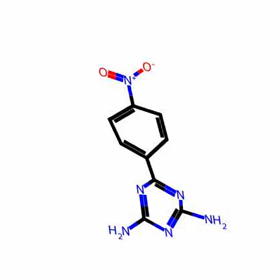 Nc1nc(N)nc(-c2ccc([N+](=O)[O-])cc2)n1